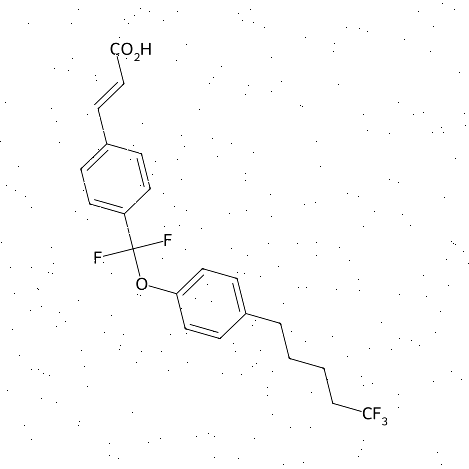 O=C(O)C=Cc1ccc(C(F)(F)Oc2ccc(CCCCC(F)(F)F)cc2)cc1